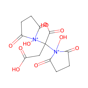 O=C(O)CC(C(=O)O)([N+]1(O)C(=O)CCC1=O)[N+]1(O)C(=O)CCC1=O